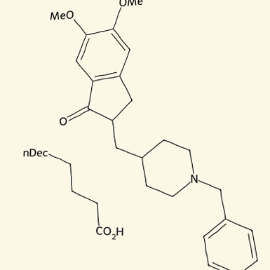 CCCCCCCCCCCCCC(=O)O.COc1cc2c(cc1OC)C(=O)C(CC1CCN(Cc3ccccc3)CC1)C2